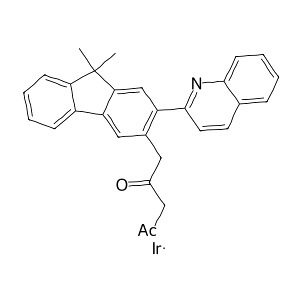 CC(=O)CC(=O)Cc1cc2c(cc1-c1ccc3ccccc3n1)C(C)(C)c1ccccc1-2.[Ir]